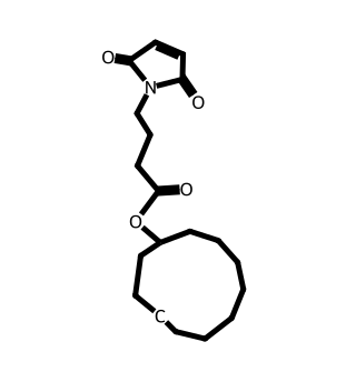 O=C(CCCN1C(=O)C=CC1=O)OC1CCCCCCCCCC1